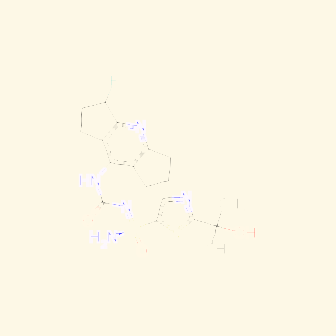 CC(C)(O)c1ncc([S@](N)(=O)=NC(=O)Nc2c3c(nc4c2CCC4F)CCC3)s1